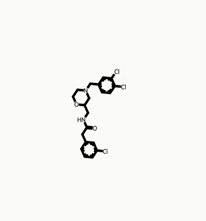 O=C(Cc1cccc(Cl)c1)NCC1CN(Cc2ccc(Cl)c(Cl)c2)CCO1